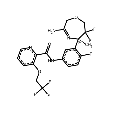 C[C@]1(c2cc(NC(=O)c3ncccc3OCC(F)(F)F)ccc2F)N=C(N)COCC1(F)F